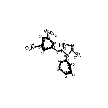 O=[N+]([O-])c1cc(CN2NN=C(S)N2c2ccccc2)cc([N+](=O)[O-])c1